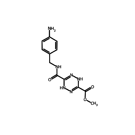 COC(=O)C1=NNC(C(=O)NCc2ccc(N)cc2)=NN1